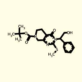 CSc1nc2c(c(=O)n1C(CO)c1ccccc1)CCN(C(=O)OC(C)(C)C)C2